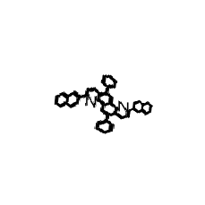 c1ccc(-c2cc3c(cc(-c4ccccc4)c4ccc(-c5ccc6ccccc6c5)nc43)c3nc(-c4ccc5ccccc5c4)ccc23)cc1